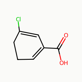 O=C(O)C1=CCCC(Cl)=C1